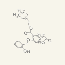 CC(=O)O.CCN(CC)CCOC(=O)c1ccccc1OCc1ccccc1O